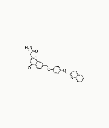 NC(=O)Cc1cc(=O)c2ccc(COc3ccc(OCc4ccc5ccccc5n4)cc3)cc2o1